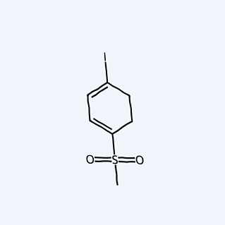 CS(=O)(=O)C1=CC=C(I)CC1